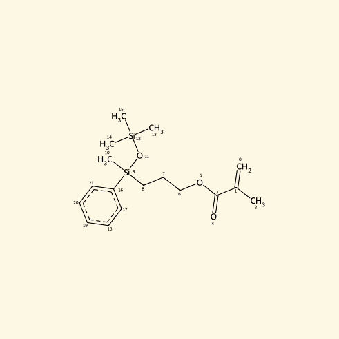 C=C(C)C(=O)OCCC[Si](C)(O[Si](C)(C)C)c1ccccc1